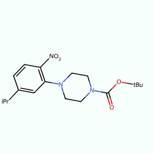 CC(C)c1ccc([N+](=O)[O-])c(N2CCN(C(=O)OC(C)(C)C)CC2)c1